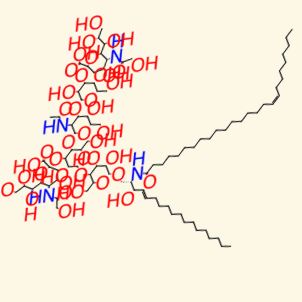 CCCCCCCC/C=C\CCCCCCCCCCCCCCCC(=O)N[C@@H](CO[C@@H]1OC(CO)[C@@H](O[C@@H]2OC(CO)[C@H](O[C@@H]3OC(CO)[C@H](O)[C@H](O[C@@H]4OC(CO)[C@H](O)[C@H](O[C@]5(C(=O)O)CC(O)[C@@H](NC(=O)CO)C([C@H](O)[C@H](O)CO)O5)C4O)C3NC(C)=O)[C@H](O[C@]3(C(=O)O)CC(O)[C@@H](NC(=O)CO)C([C@H](O)[C@H](O)CO)O3)C2O)[C@H](O)C1O)[C@H](O)/C=C/CCCCCCCCCCCCC